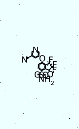 N#Cc1cncc(Oc2ccc(S(N)(=O)=O)c3c2[C@@H](F)C(F)(F)C3=O)c1